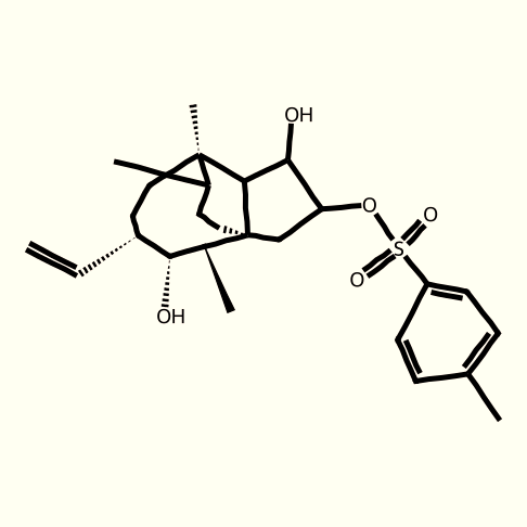 C=C[C@@H]1CC[C@]2(C)C(C)CC[C@]3(CC(OS(=O)(=O)c4ccc(C)cc4)C(O)C23)[C@@H](C)[C@@H]1O